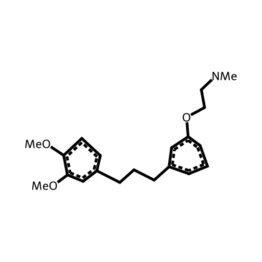 CNCCOc1cccc(CCCc2ccc(OC)c(OC)c2)c1